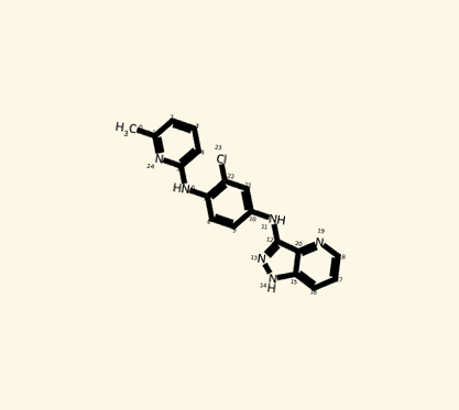 Cc1cccc(Nc2ccc(Nc3n[nH]c4cccnc34)cc2Cl)n1